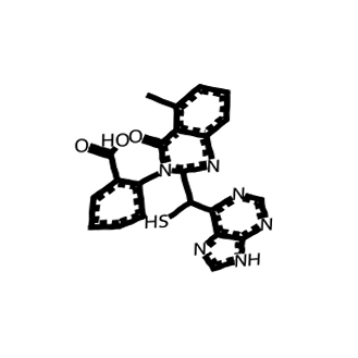 Cc1cccc2nc(C(S)c3ncnc4[nH]cnc34)n(-c3ccccc3C(=O)O)c(=O)c12